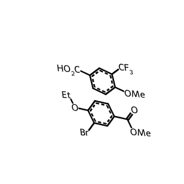 CCOc1ccc(C(=O)OC)cc1Br.COc1ccc(C(=O)O)cc1C(F)(F)F